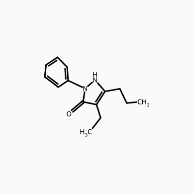 CCCc1[nH]n(-c2ccccc2)c(=O)c1CC